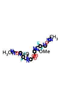 COCCn1c(Cc2cc(F)c(-c3cccc(OCc4cnc(C)cn4)n3)cc2F)nc2ccc(C(=O)OC(=O)c3ccc4nc(Cc5cc(F)c(-c6cccc(OCc7cnc(C)cn7)n6)cc5F)n(CCOC)c4c3)cc21